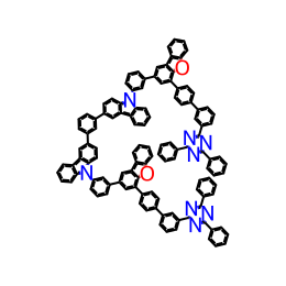 c1ccc(-c2nc(-c3ccccc3)nc(-c3cccc(-c4ccc(-c5cc(-c6cccc(-n7c8ccccc8c8cc(-c9cccc(-c%10ccc%11c(c%10)c%10ccccc%10n%11-c%10cccc(-c%11cc(-c%12ccc(-c%13cccc(-c%14nc(-c%15ccccc%15)nc(-c%15ccccc%15)n%14)c%13)cc%12)c%12oc%13ccccc%13c%12c%11)c%10)c9)ccc87)c6)cc6c5oc5ccccc56)cc4)c3)n2)cc1